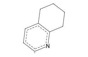 [c]1ccc2c(n1)CCCC2